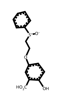 O=C(O)c1cc(OCC[S+]([O-])c2ccccc2)ccc1O